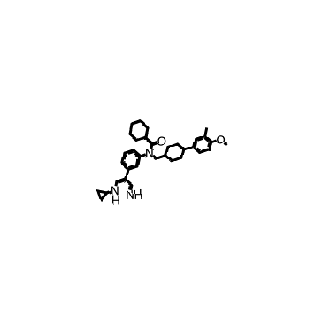 COc1ccc(C2CCC(CN(C(=O)C3CCCCC3)c3cccc(/C(C=N)=C/NC4CC4)c3)CC2)cc1C